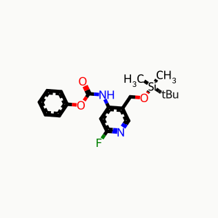 CC(C)(C)[Si](C)(C)OCc1cnc(F)cc1NC(=O)Oc1ccccc1